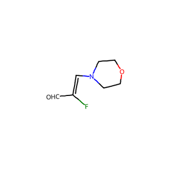 O=C/C(F)=C/N1CCOCC1